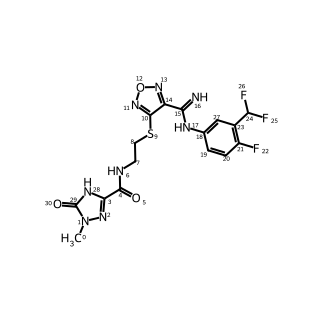 Cn1nc(C(=O)NCCSc2nonc2C(=N)Nc2ccc(F)c(C(F)F)c2)[nH]c1=O